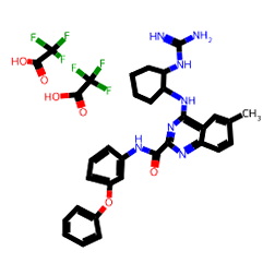 Cc1ccc2nc(C(=O)Nc3cccc(Oc4ccccc4)c3)nc(NC3CCCCC3NC(=N)N)c2c1.O=C(O)C(F)(F)F.O=C(O)C(F)(F)F